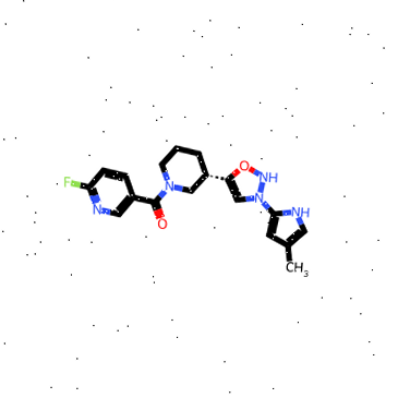 Cc1c[nH]c(N2C=C([C@H]3CCCN(C(=O)c4ccc(F)nc4)C3)ON2)c1